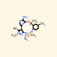 Cc1ccc2c(c1)[C@@H](C)Oc1nc(cnc1N)-c1c(nn(C)c1C#N)N(C)S(C)(=O)=N2